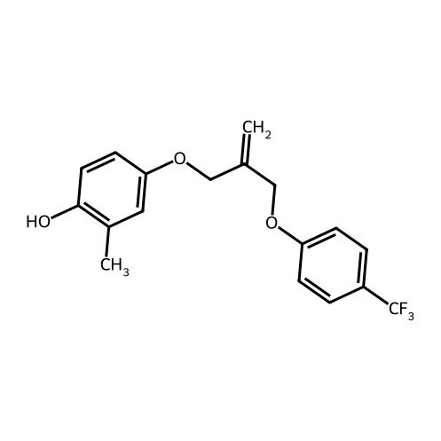 C=C(COc1ccc(C(F)(F)F)cc1)COc1ccc(O)c(C)c1